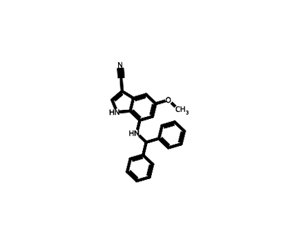 COc1cc(NC(c2ccccc2)c2ccccc2)c2[nH]cc(C#N)c2c1